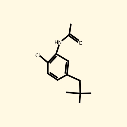 CC(=O)Nc1cc(CC(C)(C)C)ccc1Cl